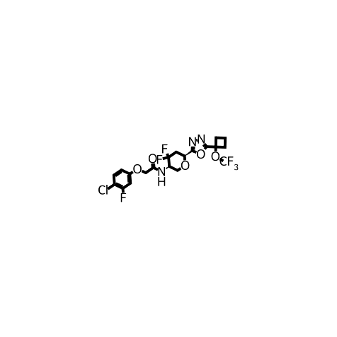 O=C(COc1ccc(Cl)c(F)c1)N[C@H]1CO[C@H](c2nnc(C3(OC(F)(F)F)CCC3)o2)CC1(F)F